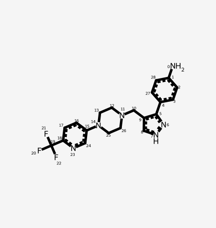 Nc1ccc(-c2n[nH]cc2CN2CCN(c3ccc(C(F)(F)F)nc3)CC2)cc1